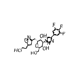 OCCC1CC(C[C@H]2O[C@H](CO)[C@H](O)[C@H](n3cc(-c4cc(F)c(F)c(F)c4)nn3)[C@H]2O)=NO1